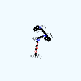 C=C(CCCCC[N+]1=C(/C=C/C=C/C=C2/N(C)c3ccc4ccccc4c3C2(C)C)C(C)(C)c2c1ccc1ccccc21)NCCOCCOCCOCCC(C)(C)C